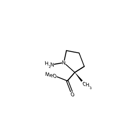 COC(=O)[C@@]1(C)CCCN1N